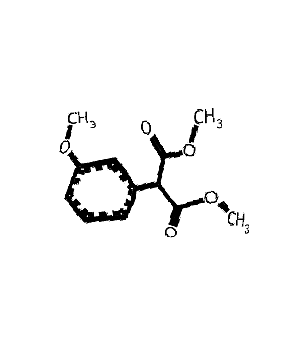 COC(=O)C(C(=O)OC)c1cccc(OC)c1